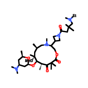 CCN(C)CC(C)(C)CC(=O)N1CC(C2COC(=O)C(C)(C)C(=O)[C@H](C)[C@@H](O[C@H]3C[C@@H](N(C)C)C[C@@H](C)O3)[C@](C)(OC)C[C@@H](C)CN2C)C1